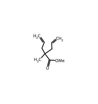 C=CCC(C)(CC=C)C(=O)OC